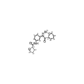 O=C(Nc1cccc(NC(=O)C2CCCO2)c1)c1ccccc1Br